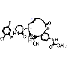 COC(=O)Nc1ccc2c(c1)NC(=O)CC/C=C/C[C@H](N1CC[C@@H](c3c(F)ccc(Cl)c3F)NC1=O)c1nc-2c(C#N)[nH]1